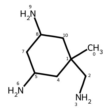 CC1(CN)CC(N)CC(N)C1